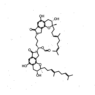 CC(C)=CCC/C(C)=C/CC[C@]1(C)Oc2c(c(O)cc3c2CN(CCC[C@@H](OC=O)N2Cc4c(cc(O)c5c4O[C@@](C)(CC/C=C(\C)CCC=C(C)C)[C@@H](O)C5)C2=O)C3=O)C[C@@H]1O